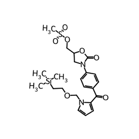 C[Si](C)(C)CCOCn1cccc1C(=O)c1ccc(N2CC(COS(C)(=O)=O)OC2=O)cc1